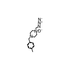 Cc1ccc(CN2CC[N+]([O-])(CN=[N+]=[N-])CC2)cc1